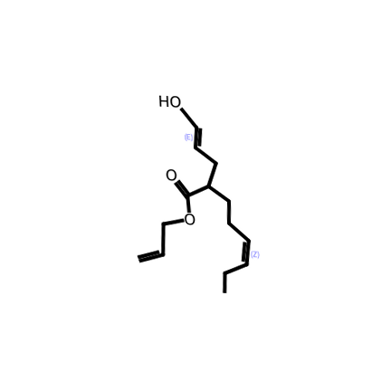 C=CCOC(=O)C(C/C=C/O)CC/C=C\CC